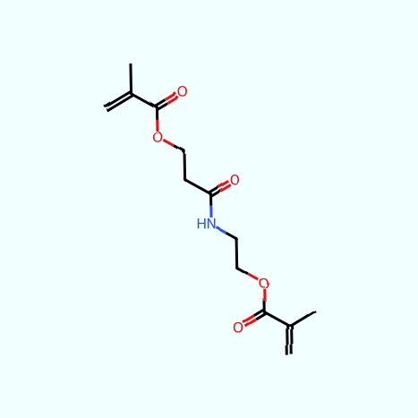 C=C(C)C(=O)OCCNC(=O)CCOC(=O)C(=C)C